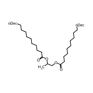 CCCCCCCCCCCCCCCCCCCC(=O)OCC(C)OC(=O)CCCCCCCCCCCCCCCCCCC